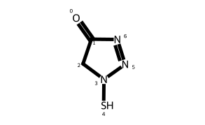 O=C1CN(S)N=N1